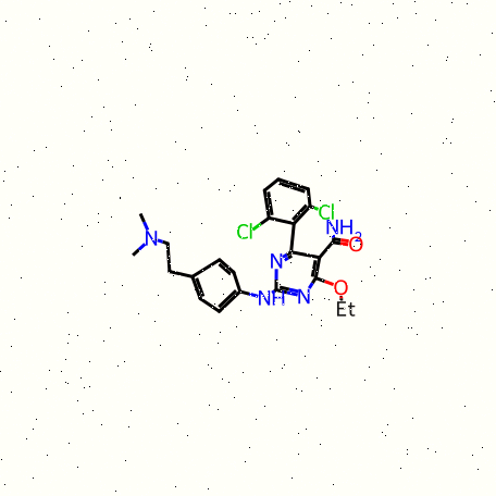 CCOc1nc(Nc2ccc(CCN(C)C)cc2)nc(-c2c(Cl)cccc2Cl)c1C(N)=O